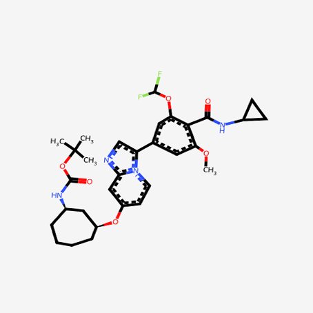 COc1cc(-c2cnc3cc(O[C@H]4CCCC[C@@H](NC(=O)OC(C)(C)C)C4)ccn23)cc(OC(F)F)c1C(=O)NC1CC1